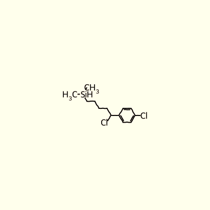 C[SiH](C)CCCCC(Cl)c1ccc(Cl)cc1